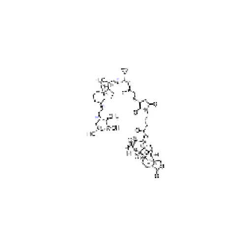 C=C1/C(=C\C=C2/CCC[C@@]3(C)C2CCC3[C@@H](C)/C=C/C(OC(=O)CSC2CC(=O)N(CCCC(=O)O[C@@H]3[C@@]4(C(C)C)O[C@H]4[C@@H]4O[C@@]45[C@@]4(C)CCC6=C(COC6=O)[C@@H]4C4C[C@@]35O4)C2=O)C2CC2)C[C@@H](O)C[C@@H]1O